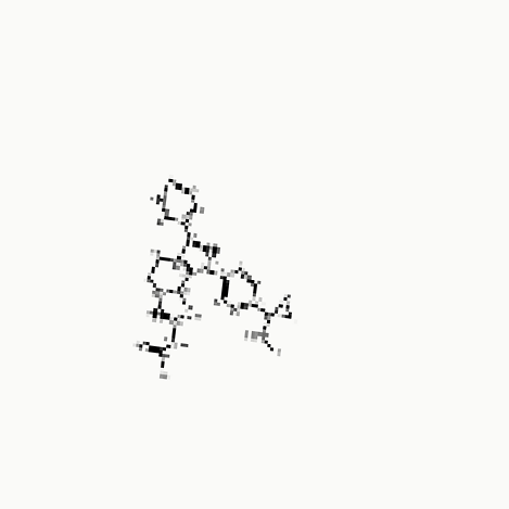 CNC1(c2ccc(-n3nc(-c4cccnc4)c4c3C3SC(NC(C)=O)=NC3CC4)cc2)CC1